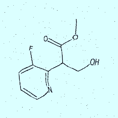 COC(=O)C(CO)c1ncccc1F